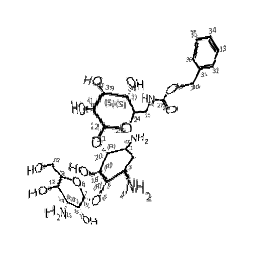 NC1CC(N)[C@@H](O[C@H]2OC(CO)C(O)[C@@H](N)[C@H]2O)[C@@H](O)[C@@H]1OC1OC(CNC(=O)OCc2ccccc2)[C@@H](O)[C@H](O)[C@@H]1O